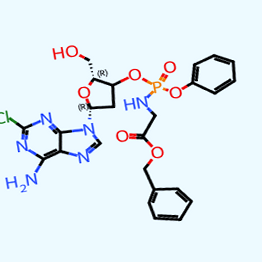 Nc1nc(Cl)nc2c1ncn2[C@H]1CC(OP(=O)(NCC(=O)OCc2ccccc2)Oc2ccccc2)[C@@H](CO)O1